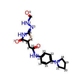 O=CN/N=C1\NC(=O)C(CC(=O)Nc2ccc(N3CCCC3)cc2)S1